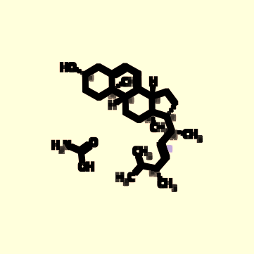 CC(C)[C@@H](C)/C=C/[C@@H](C)[C@H]1CC[C@H]2C3=CC=C4C[C@@H](O)CC[C@]4(C)[C@H]3CC[C@]12C.NC(=O)O